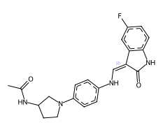 CC(=O)NC1CCN(c2ccc(N/C=C3\C(=O)Nc4ccc(F)cc43)cc2)C1